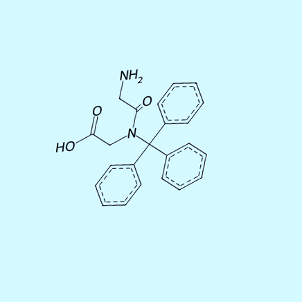 NCC(=O)N(CC(=O)O)C(c1ccccc1)(c1ccccc1)c1ccccc1